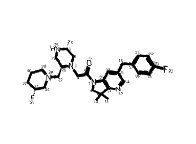 C[C@@H]1CN(CC(=O)N2CC(C)(C)c3ncc(Cc4ccc(F)cc4)cc32)[C@@H](CN2CCC[C@@H](F)C2)CN1